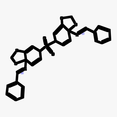 O=S(=O)(C1C=CC2(/N=C/c3ccccc3)OCOC2=C1)C1C=CC2(/N=C/c3ccccc3)OCOC2=C1